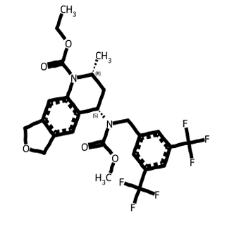 CCOC(=O)N1c2cc3c(cc2[C@@H](N(Cc2cc(C(F)(F)F)cc(C(F)(F)F)c2)C(=O)OC)C[C@H]1C)COC3